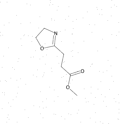 COC(=O)CCC1=NCCO1